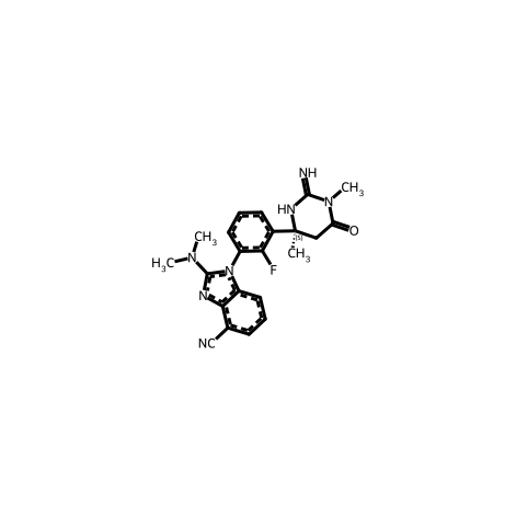 CN1C(=N)N[C@](C)(c2cccc(-n3c(N(C)C)nc4c(C#N)cccc43)c2F)CC1=O